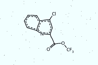 O=C(OC(F)(F)F)c1cc(Cl)c2ccccc2n1